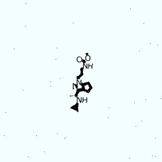 COC(=O)NCCCn1nc([C@@H](C)NC2CC2)c2c1CCC2